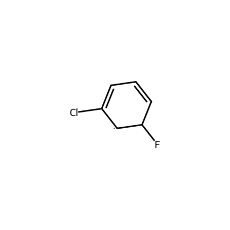 FC1[CH]C(Cl)=CC=C1